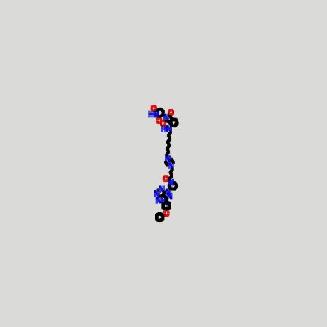 Nc1ncnc2c1c(-c1ccc(Oc3ccccc3)cc1)nn2[C@@H]1CCCN(C(=O)CCCN2CCN(CCCCCCCCNc3cccc4c3C(=O)N(C3CCC(=O)NC3=O)C4=O)CC2)C1